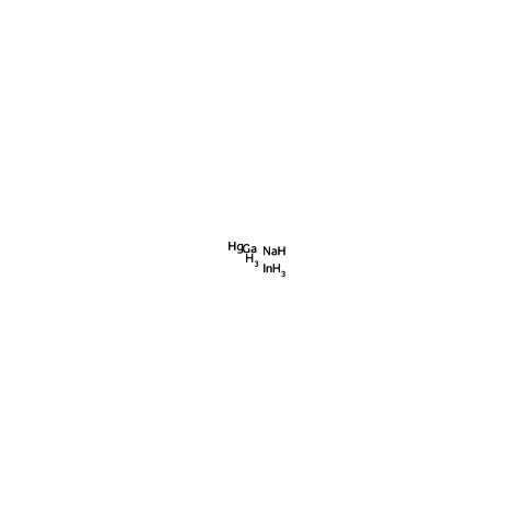 [GaH3].[Hg].[InH3].[NaH]